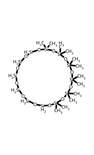 C[Si]1(C)O[SiH2]O[SiH2]O[SiH2]O[SiH2]O[SiH2]O[SiH2]O[Si](C)(C)O[Si](C)(C)O[Si](C)(C)O[Si](C)(C)O[Si](C)(C)O1